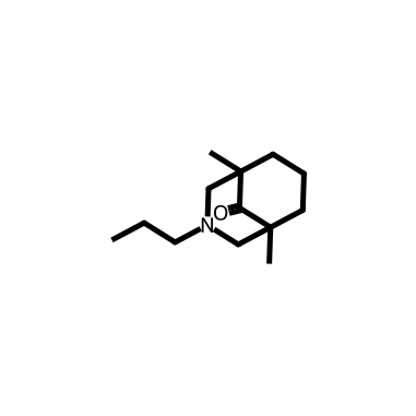 CCCN1CC2(C)CCCC(C)(C1)C2=O